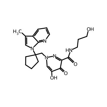 Cc1cn(C2(Cn3cc(O)c(=O)c(C(=O)NCCCO)n3)CCCC2)c2ncccc12